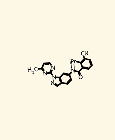 Cc1ccnc(-n2ncc3ccc(NC(=O)c4cccc(C#N)c4C(C)C)cc32)n1